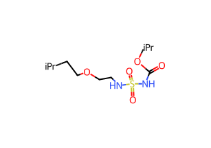 CC(C)CCOCCNS(=O)(=O)NC(=O)OC(C)C